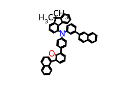 CC1(C)c2ccccc2-c2c(N(c3ccc(C4=CC=CC5c6c(ccc7ccccc67)OC45)cc3)c3cccc(-c4ccc5ccccc5c4)c3)cccc21